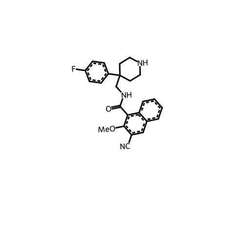 COc1c(C#N)cc2ccccc2c1C(=O)NCC1(c2ccc(F)cc2)CCNCC1